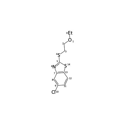 CCOCCSc1nc2cc(Cl)ccc2s1